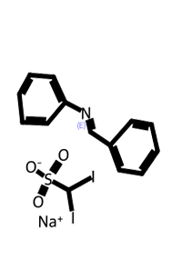 C(=N\c1ccccc1)/c1ccccc1.O=S(=O)([O-])C(I)I.[Na+]